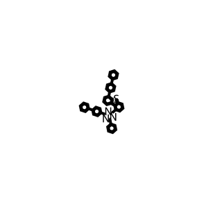 c1ccc(-c2ccc(-c3nc(-c4ccccc4)nc(-c4cccc5sc6c(-c7ccc(-c8ccccc8)cc7)cccc6c45)n3)cc2)cc1